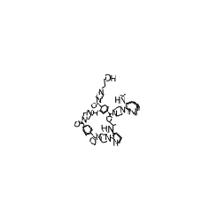 CC(C)Nc1cccnc1N1CCN(C(=O)c2ccc(C(=O)N3CCN(CCCO)CC3)cc2)CC1.CC(C)Nc1cccnc1N1CCN(C(=O)c2ccc(C(=O)N3CCNCC3)cc2)CC1